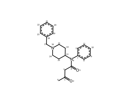 CC(=O)CC(=O)N(c1ccccc1)C1CCN(Cc2ccccc2)CC1